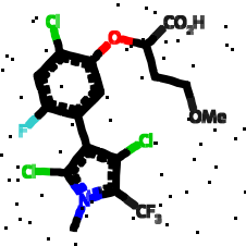 COCCC(Oc1cc(-c2c(Cl)c(C(F)(F)F)n(C)c2Cl)c(F)cc1Cl)C(=O)O